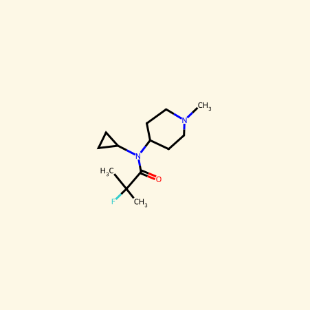 CN1CCC(N(C(=O)C(C)(C)F)C2CC2)CC1